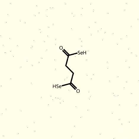 O=C([SeH])CCC(=O)[SeH]